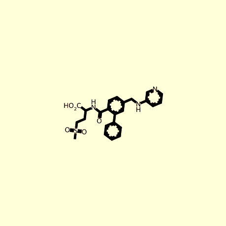 CS(=O)(=O)CCC(NC(=O)c1ccc(CNc2cccnc2)cc1-c1ccccc1)C(=O)O